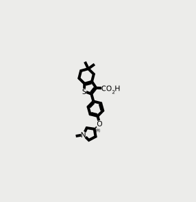 CN1CC[C@@H](Oc2ccc(-c3sc4c(c3C(=O)O)CC(C)(C)CC4)cc2)C1